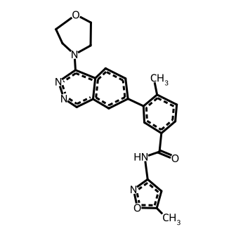 Cc1cc(NC(=O)c2ccc(C)c(-c3ccc4c(N5CCOCC5)nncc4c3)c2)no1